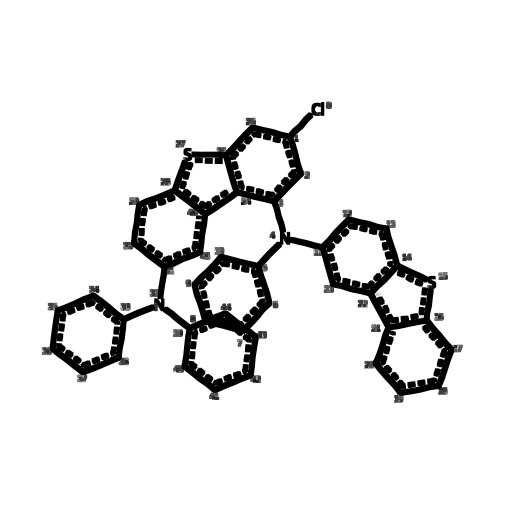 Clc1cc(N(c2ccccc2)c2ccc3sc4ccccc4c3c2)c2c(c1)sc1ccc(N(c3ccccc3)c3ccccc3)cc12